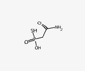 NC(=O)CP(=O)(O)S